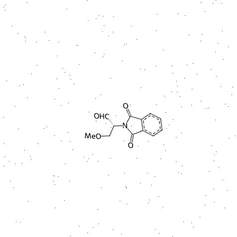 COC[C@H](C=O)N1C(=O)c2ccccc2C1=O